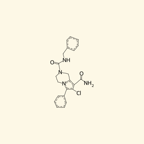 NC(=O)c1c(Cl)c(-c2ccccc2)n2c1CN(C(=O)NCc1ccccc1)CC2